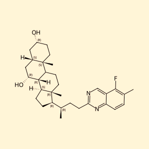 Cc1ccc2nc(CC[C@@H](C)[C@H]3CC[C@H]4[C@H]5C(CC[C@]34C)[C@@]3(C)CC[C@@H](O)C[C@H]3C[C@H]5O)ncc2c1F